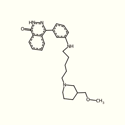 COCC1CCCN(CCCCCNc2cccc(-c3n[nH]c(=O)c4ccccc34)c2)C1